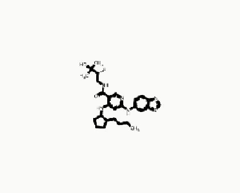 CCCCC1CCCC1Nc1cc(Nc2ccc3ncsc3c2)ncc1C(=O)NC[C@@H](F)C(C)(C)O